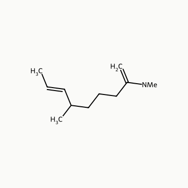 C=C(CCCC(C)C=CC)NC